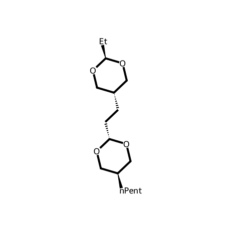 CCCCC[C@H]1CO[C@H](CC[C@H]2CO[C@H](CC)OC2)OC1